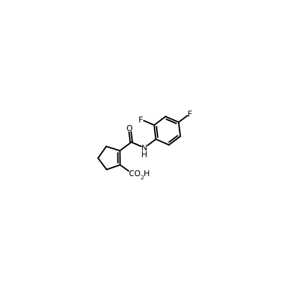 O=C(O)C1=C(C(=O)Nc2ccc(F)cc2F)CCC1